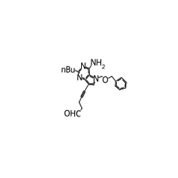 CCCCc1nc(N)c2c(n1)c(C#CCCC=O)cn2COCc1ccccc1